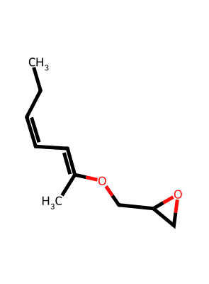 CC/C=C\C=C(/C)OCC1CO1